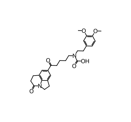 COc1ccc(CCN(CCCCC(=O)c2cc3c4c(c2)CCN4C(=O)CC3)C(=O)O)cc1OC